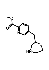 COC(=O)c1ccc(CC2CNCCO2)cn1